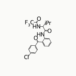 CC(C)C(NC(=O)C(F)(F)F)C(=O)Nc1ccccc1C(=O)c1ccc(Cl)cc1